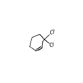 ClC1(Cl)C=CCCC1